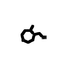 CC1CCOCCN1CS